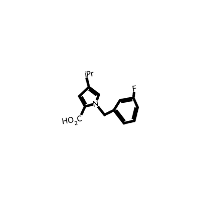 CC(C)c1cc(C(=O)O)n(Cc2cccc(F)c2)c1